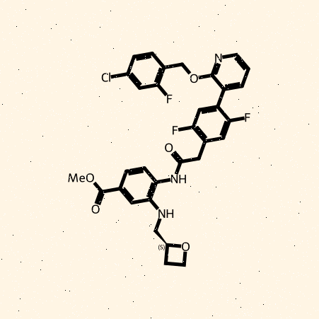 COC(=O)c1ccc(NC(=O)Cc2cc(F)c(-c3cccnc3OCc3ccc(Cl)cc3F)cc2F)c(NC[C@@H]2CCO2)c1